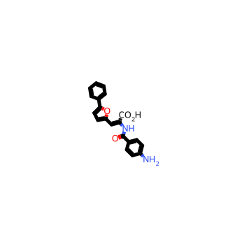 Nc1ccc(C(=O)NC(=Cc2ccc(-c3ccccc3)o2)C(=O)O)cc1